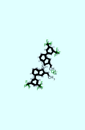 CCC1=Cc2c(-c3cc(C(F)(F)F)cc(C(F)(F)F)c3)cccc2[CH]1[Zr+2][CH]1C(CC)=Cc2c(-c3cc(C(F)(F)F)cc(C(F)(F)F)c3)cccc21.[Cl-].[Cl-]